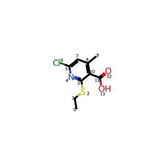 CCSc1nc(Cl)cc(C)c1C(=O)O